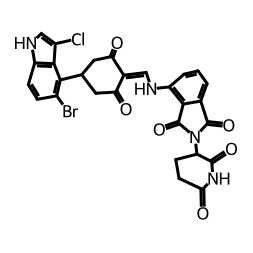 O=C1CCC(N2C(=O)c3cccc(NC=C4C(=O)CC(c5c(Br)ccc6[nH]cc(Cl)c56)CC4=O)c3C2=O)C(=O)N1